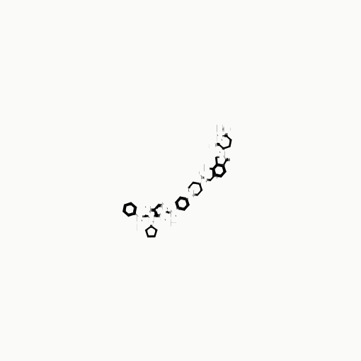 CN(Cc1ccc2c(c1F)CN(C1CCC(=O)NC1=O)C2=O)C1CCN(c2ccc(Nc3ncc4nc(Nc5ccccc5)n(C5CCCC5)c4n3)cc2)CC1